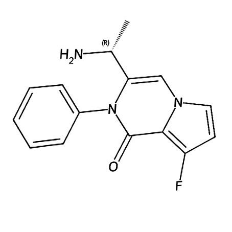 C[C@@H](N)c1cn2ccc(F)c2c(=O)n1-c1ccccc1